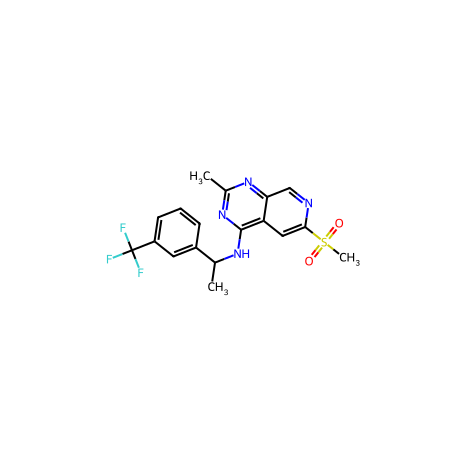 Cc1nc(NC(C)c2cccc(C(F)(F)F)c2)c2cc(S(C)(=O)=O)ncc2n1